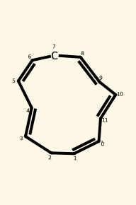 [C]1=C\C/C=C/C=C\C/C=C/C=C/1